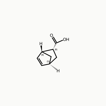 O=C(O)[C@@H]1C[C@H]2C=C[C@H]1C2